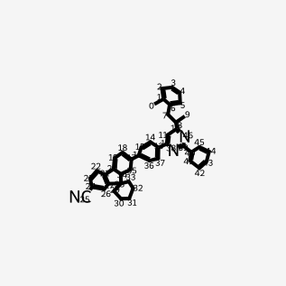 Cc1ccccc1CC(C)c1cc(-c2ccc(C3=CC=C4c5ccc(C#N)cc5C5(CCCCC5)C4C3)cc2)nc(-c2ccccc2)n1